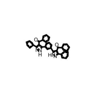 O=C(c1ccccc1)c1c(-c2ccccc2)n[nH]c1-c1cccc(-c2[nH]nc(-c3ccccc3)c2C(=O)c2ccccc2)c1